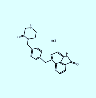 Cl.O=C1Nc2ccc(Cc3ccc(CN4CCNCC4=O)cc3)c3cccc1c23